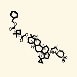 C[C@@H](CN[C@]12CCC(C3(C)CC3)[C@@H]1[C@H]1CC[C@@H]3[C@@]4(C)CC[C@H](OC(=O)[C@H]5C[C@@H](C(=O)OCc6ccccc6)C5(C)C)C(C)(C)[C@@H]4CC[C@@]3(C)[C@]1(C)CC2)N1CCS(=O)(=O)CC1